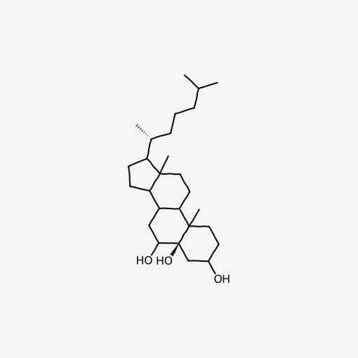 CC(C)CCC[C@@H](C)C1CCC2C3CC(O)[C@@]4(O)CC(O)CCC4(C)C3CCC21C